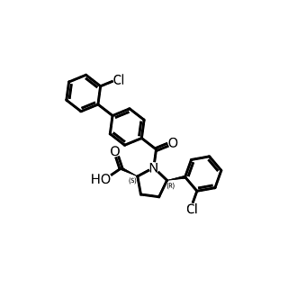 O=C(O)[C@@H]1CC[C@H](c2ccccc2Cl)N1C(=O)c1ccc(-c2ccccc2Cl)cc1